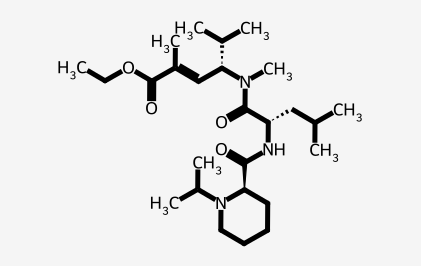 CCOC(=O)/C(C)=C/[C@H](C(C)C)N(C)C(=O)[C@H](CC(C)C)NC(=O)[C@H]1CCCCN1C(C)C